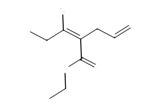 C=CCC(C(=O)OCC)=C(N)CC